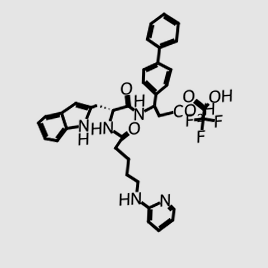 O=C(O)C(F)(F)F.O=C(O)CC(NC(=O)[C@@H](Cc1cc2ccccc2[nH]1)NC(=O)CCCCNc1ccccn1)c1ccc(-c2ccccc2)cc1